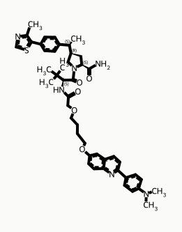 Cc1ncsc1-c1ccc([C@@H](C)[C@H]2C[C@@H](C(N)=O)N(C(=O)[C@@H](NC(=O)COCCCCOc3ccc4nc(-c5ccc(N(C)C)cc5)ccc4c3)C(C)(C)C)C2)cc1